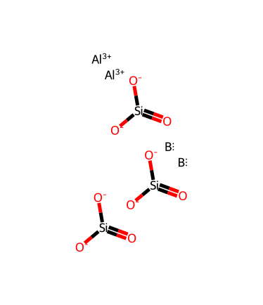 O=[Si]([O-])[O-].O=[Si]([O-])[O-].O=[Si]([O-])[O-].[Al+3].[Al+3].[B].[B]